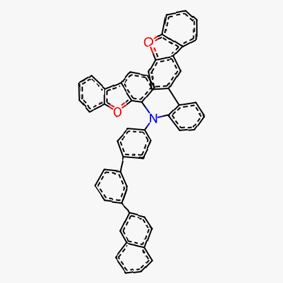 c1cc(-c2ccc(N(c3ccccc3-c3ccc4oc5ccccc5c4c3)c3cccc4c3oc3ccccc34)cc2)cc(-c2ccc3ccccc3c2)c1